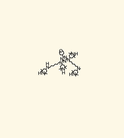 CN(CCCCCCN(c1nc(C2CCOCC2)nc(N(CCCCCCNC2CC(C)(C)NC(C)(C)C2)C2CC(C)(C)NC(C)(C)C2)n1)C1CC(C)(C)NC(C)(C)C1)C1CC(C)(C)NC(C)(C)C1